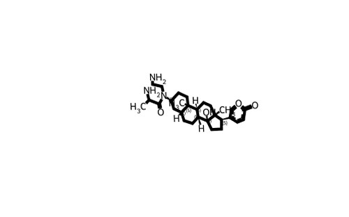 CC(N)C(=O)N(CCN)[C@H]1CC[C@@]2(C)[C@H](CC[C@@H]3[C@@H]2CC[C@]2(C)[C@@H](c4ccc(=O)oc4)CC[C@]32O)C1